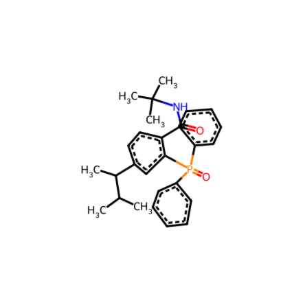 CC(C)C(C)c1ccc(C(=O)NC(C)(C)C)c(P(=O)(c2ccccc2)c2ccccc2)c1